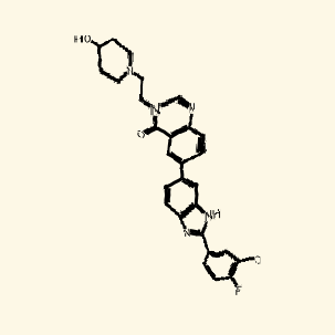 O=c1c2cc(-c3ccc4nc(-c5ccc(F)c(Cl)c5)[nH]c4c3)ccc2ncn1CCN1CCC(O)CC1